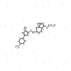 CCn1nc(-c2ccc(C(F)(F)F)cc2)cc1COc1ccc2c(CC(=O)O)c[nH]c2c1